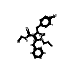 CCCN1NC(Cc2ccc(Br)cc2)C(C(=O)OCC)=C1Cc1ccccc1